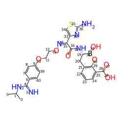 CC(C)NC(=N)c1ccc(OCCO/N=C(\C(=O)N[C@H]2Cc3cccc(C(=O)O)c3OB2O)c2csc(N)n2)cc1